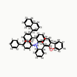 c1ccc(-c2ccc(N(c3ccccc3-c3ccccc3-c3cccc4ccccc34)c3ccccc3-c3cccc4c3oc3ccccc34)cc2)cc1